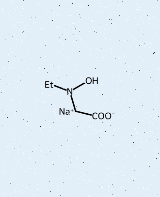 CCN(O)CC(=O)[O-].[Na+]